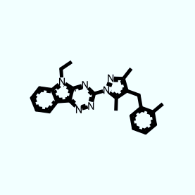 CCn1c2ccccc2c2nnc(-n3nc(C)c(Cc4ccccc4C)c3C)nc21